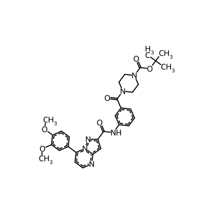 COc1ccc(-c2ccnc3cc(C(=O)Nc4cccc(C(=O)N5CCN(C(=O)OC(C)(C)C)CC5)c4)nn23)cc1OC